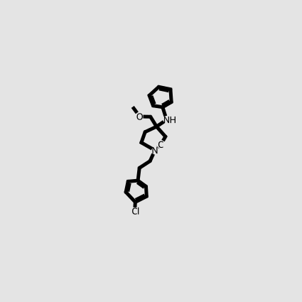 COCC1(Nc2ccccc2)CCN(CCc2ccc(Cl)cc2)CC1